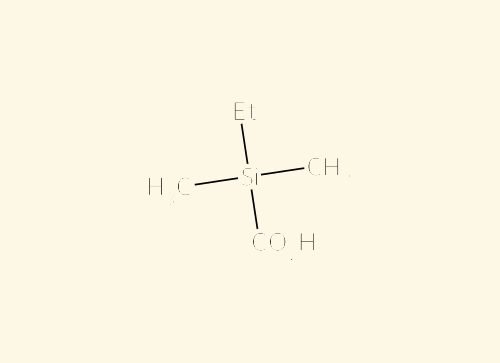 CC[Si](C)(C)C(=O)O